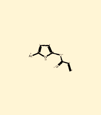 C=CC(=O)Oc1ccc(C(C)=O)o1